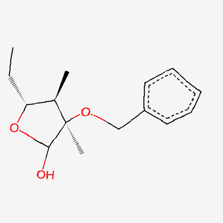 CC[C@H]1OC(O)[C@](C)(OCc2ccccc2)[C@@H]1C